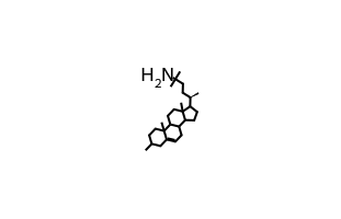 CC1CCC2(C)C(=CCC3C2CCC2(C)C3CCC2[C@H](C)CCC(C)(C)N)C1